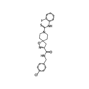 O=C(NCc1ccc(Cl)cc1)C1=NOC2(CCN(C(=S)Nc3ccccc3I)CC2)C1